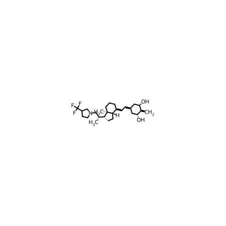 C=C1[C@H](O)CC(=CC=C2CCC[C@]3(C)[C@@H]([C@H](C)CN4CCC(C(F)(F)F)C4)CC[C@@H]23)C[C@H]1O